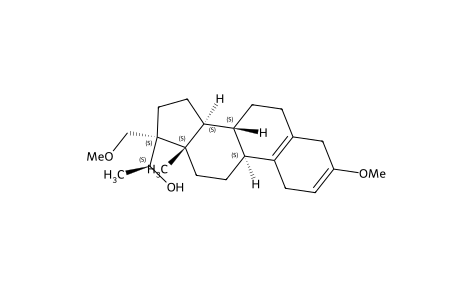 COC[C@]1([C@H](C)O)CC[C@H]2[C@@H]3CCC4=C(CC=C(OC)C4)[C@H]3CC[C@@]21C